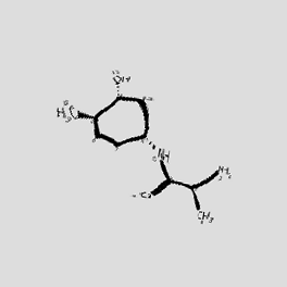 C[C@H](N)C(=O)N[C@@H]1CC[C@@H](C)[C@H](O)C1